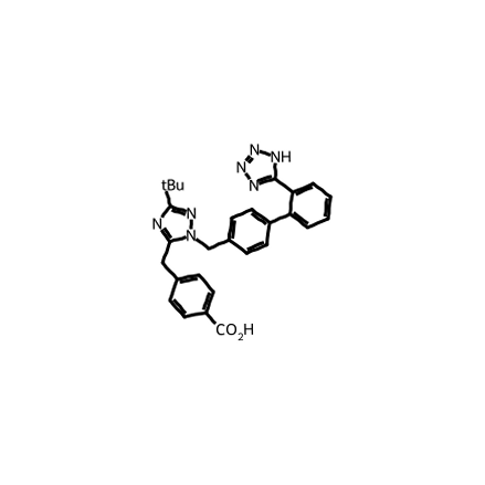 CC(C)(C)c1nc(Cc2ccc(C(=O)O)cc2)n(Cc2ccc(-c3ccccc3-c3nnn[nH]3)cc2)n1